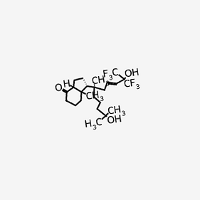 CC(C)(O)CCC[C@](C)(C/C=C/C(O)(C(F)(F)F)C(F)(F)F)[C@H]1CC[C@H]2C(=O)CCCC21C